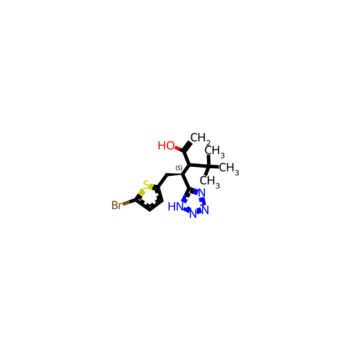 C=C(O)C([C@H](Cc1ccc(Br)s1)c1nnn[nH]1)C(C)(C)C